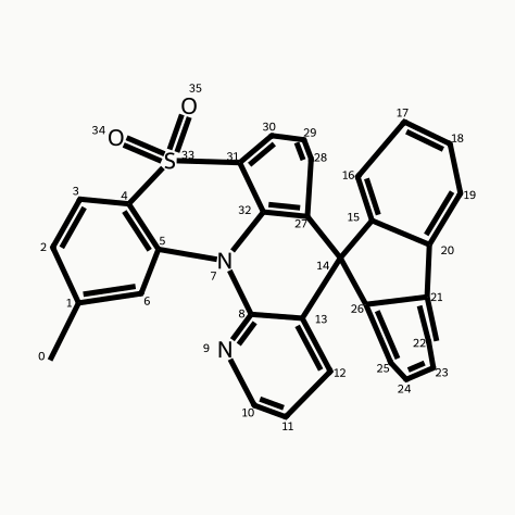 Cc1ccc2c(c1)N1c3ncccc3C3(c4ccccc4-c4ccccc43)c3cccc(c31)S2(=O)=O